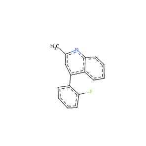 Cc1cc(-c2ccccc2F)c2ccccc2n1